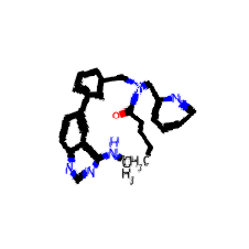 CCCCC(=O)N(Cc1cccc(-c2ccc3ncnc(NC)c3c2)c1)Cc1ccccn1